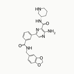 Nc1ncc(-c2cccc(C(=O)NCc3ccc4c(c3)OCO4)c2)nc1C(=O)N[C@H]1CCCNC1